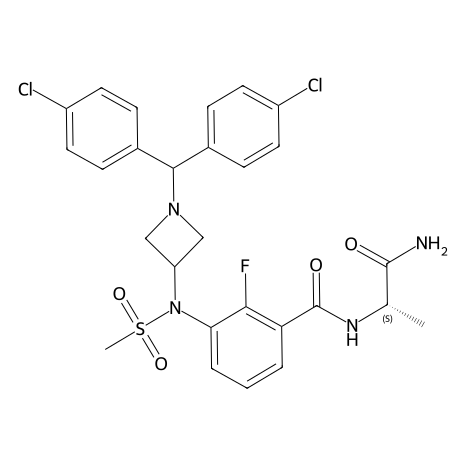 C[C@H](NC(=O)c1cccc(N(C2CN(C(c3ccc(Cl)cc3)c3ccc(Cl)cc3)C2)S(C)(=O)=O)c1F)C(N)=O